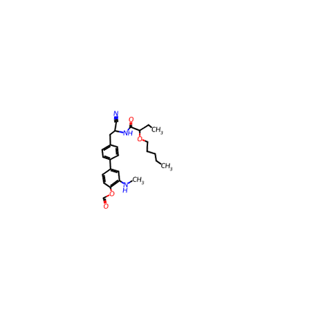 CCCCCOC(CC)C(=O)NC(C#N)Cc1ccc(-c2ccc(OC=O)c(NC)c2)cc1